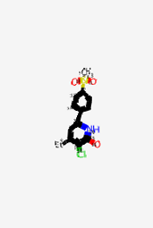 CCc1cc(-c2ccc(S(C)(=O)=O)cc2)[nH]c(=O)c1Cl